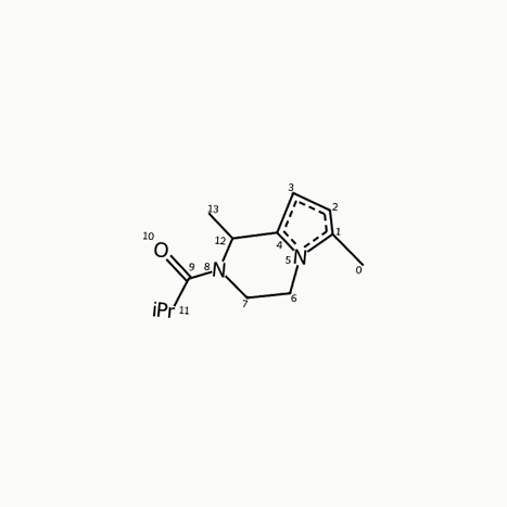 Cc1ccc2n1CCN(C(=O)C(C)C)C2C